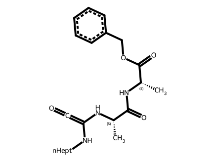 CCCCCCCNC(=C=O)N[C@@H](C)C(=O)N[C@@H](C)C(=O)OCc1ccccc1